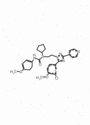 COC1=CC=C(NC(=O)N(CCn2nc(-c3ccncc3)nc2-c2ccc(OC)c(Cl)c2)C2CCCC2)CC1